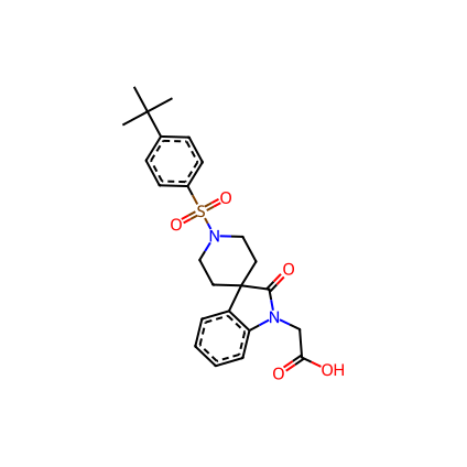 CC(C)(C)c1ccc(S(=O)(=O)N2CCC3(CC2)C(=O)N(CC(=O)O)c2ccccc23)cc1